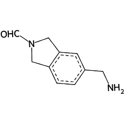 NCc1ccc2c(c1)CN(C=O)C2